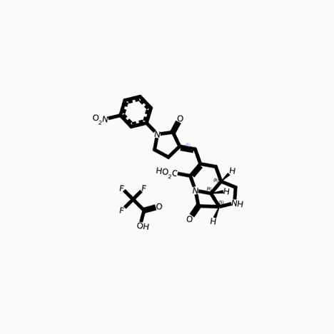 O=C(O)C(F)(F)F.O=C(O)C1=C(/C=C2\CCN(c3cccc([N+](=O)[O-])c3)C2=O)C[C@@H]2CN[C@@H]3C(=O)N1[C@H]23